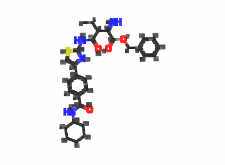 CCC(C(=N)C(=O)OCc1ccccc1)C(=O)Nc1nc(-c2ccc(C(=O)NC3CCCCC3)cc2)cs1